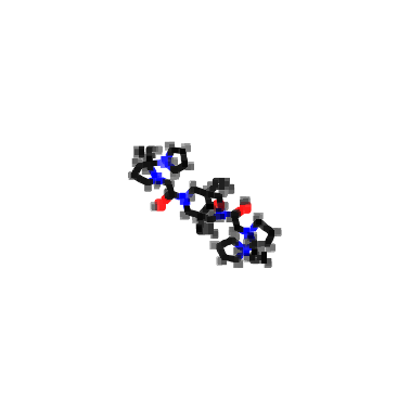 CC12CN(C(=O)CN3CCC[C@]3(C)N3CCCC3)CC(C)(CN(C(=O)CN3CCC[C@]3(C)N3CCCC3)C1)C2=O